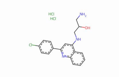 Cl.Cl.NCC(O)CNc1cc(-c2ccc(Cl)cc2)nc2ccccc12